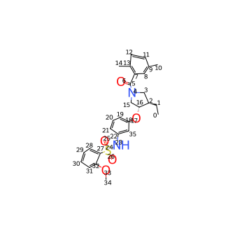 CC[C@@H]1CN(C(=O)c2cc(C)ccc2C)C[C@H]1Oc1cccc(NS(=O)(=O)c2ccccc2OC)c1